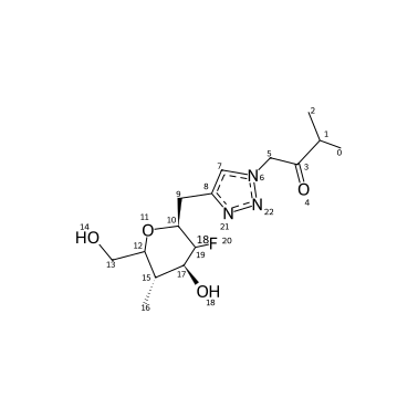 CC(C)C(=O)Cn1cc(C[C@@H]2OC(CO)[C@@H](C)[C@H](O)C2[18F])nn1